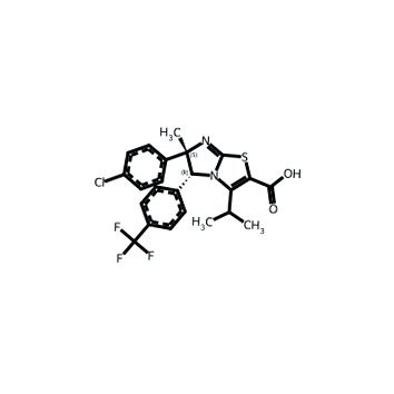 CC(C)C1=C(C(=O)O)SC2=N[C@@](C)(c3ccc(Cl)cc3)[C@@H](c3ccc(C(F)(F)F)cc3)N21